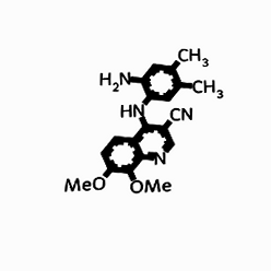 COc1ccc2c(Nc3cc(C)c(C)cc3N)c(C#N)cnc2c1OC